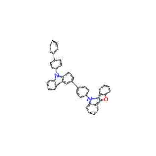 c1ccc(-c2ccc(-n3c4ccccc4c4cc(-c5ccc(-n6c7ccccc7c7oc8ccccc8c76)cc5)ccc43)cc2)cc1